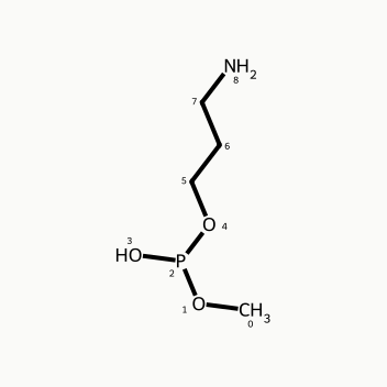 COP(O)OCCCN